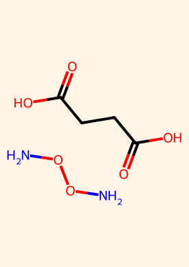 NOON.O=C(O)CCC(=O)O